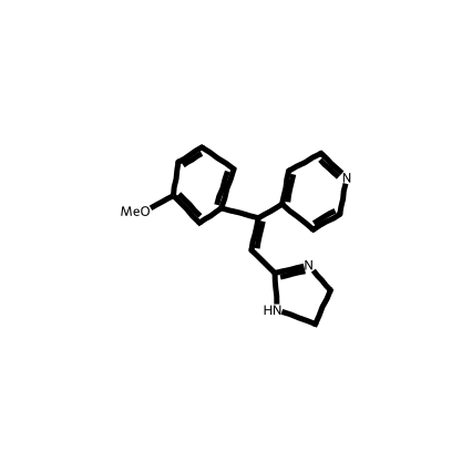 COc1cccc(C(=CC2=NCCN2)c2ccncc2)c1